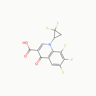 O=C(O)c1cn(C2CC2(F)F)c2c(F)c(F)c(F)cc2c1=O